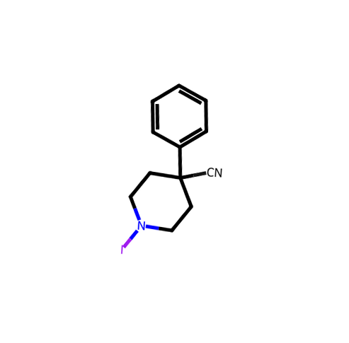 N#CC1(c2ccccc2)CCN(I)CC1